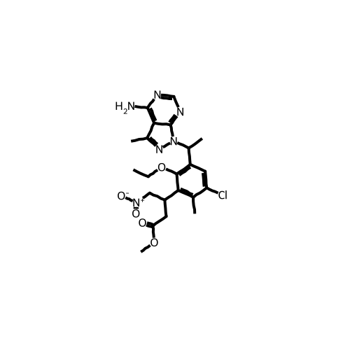 CCOc1c(C(C)n2nc(C)c3c(N)ncnc32)cc(Cl)c(C)c1C(CC(=O)OC)C[N+](=O)[O-]